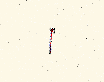 COC1=C(OC)C(=O)C(C/C=C(\C)CC/C=C(\C)CC/C=C(\C)CC/C=C(\C)CC/C=C(\C)CC/C=C(\C)CC/C=C(\C)CCC=C(C)C)=C(C)C1=O